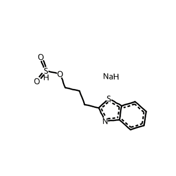 O=[SH](=O)OCCCc1nc2ccccc2s1.[NaH]